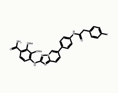 COc1c(Nc2nc3ccc(-c4ccc(NC(=O)Cc5ccc(F)cc5)cc4)cn3n2)ccc(C(N)=O)c1OC